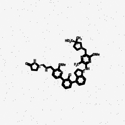 COc1nc(-c2cccc(-c3cccc4c3CC[C@@H]4Nc3nc(OC)c(CN4CC[C@@](C)(C(=O)O)C4)nc3C(F)(F)F)c2Cl)ccc1CNC[C@@H]1CCC(=O)N1